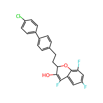 OC1=C(F)c2cc(F)cc(F)c2OC1CCc1ccc(-c2ccc(Cl)cc2)cc1